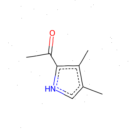 CC(=O)c1[nH]cc(C)c1C